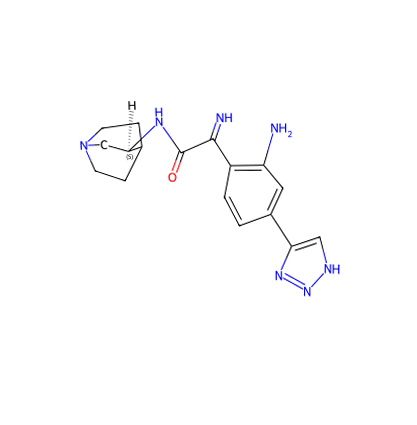 N=C(C(=O)N[C@@H]1CN2CCC1CC2)c1ccc(-c2c[nH]nn2)cc1N